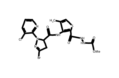 COC(=O)NNC(=O)c1scc(C)c1NC(=O)C1CC(Br)=NN1c1ncccc1Cl